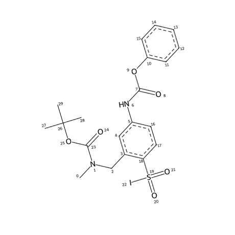 CN(Cc1cc(NC(=O)Oc2ccccc2)ccc1S(=O)(=O)I)C(=O)OC(C)(C)C